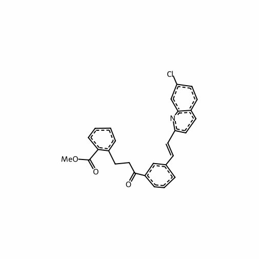 COC(=O)c1ccccc1CCC(=O)c1cccc(/C=C/c2ccc3ccc(Cl)cc3n2)c1